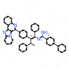 CC(/C(=C(\N=C(/N)c1ccc(-c2ccccc2)cc1)c1ccccc1)c1ccc(-c2nc3ccccc3c3nc4ccccn4c23)cc1)c1ccccc1